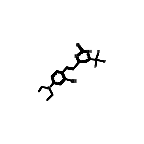 CCN(CC)c1ccc(C=Cc2cc(C(F)(F)F)[nH]c(=O)n2)c(O)c1